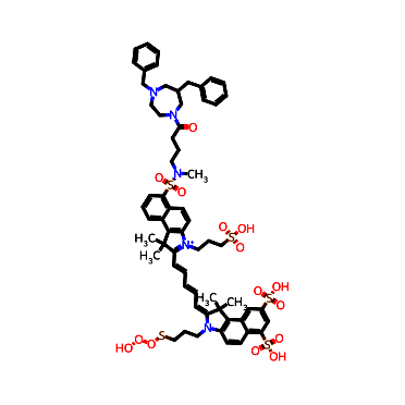 CN(CCCC(=O)N1CCN(Cc2ccccc2)CC(Cc2ccccc2)C1)S(=O)(=O)c1cccc2c3c(ccc12)[N+](CCCS(=O)(=O)O)=C(/C=C/C=C/C=C1/N(CCCSOOO)c2ccc4c(S(=O)(=O)O)cc(S(=O)(=O)O)cc4c2C1(C)C)C3(C)C